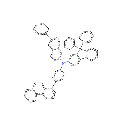 c1ccc(-c2ccc3cc(N(c4ccc(-c5cccc6c5ccc5ccccc56)cc4)c4ccc5c(c4)C(c4ccccc4)(c4ccccc4)c4ccccc4-5)ccc3c2)cc1